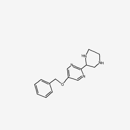 c1ccc(COc2cnc(C3CNCCN3)nc2)cc1